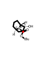 CC(C)(C)OC(=O)N1[C@@H]2CCC[C@@H]1[C@H](O)CC2